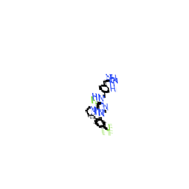 Fc1c(NCC2CCC(Cc3nnn[nH]3)CC2)ncnc1N1CCC[C@@H]1c1ccc(C(F)(F)F)cc1